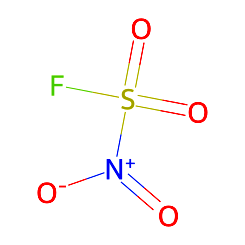 O=[N+]([O-])S(=O)(=O)F